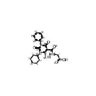 O=C(O)CNC(=O)c1c(O)n(C2CCCCC2)c(=O)n(-c2ccccc2)c1=O